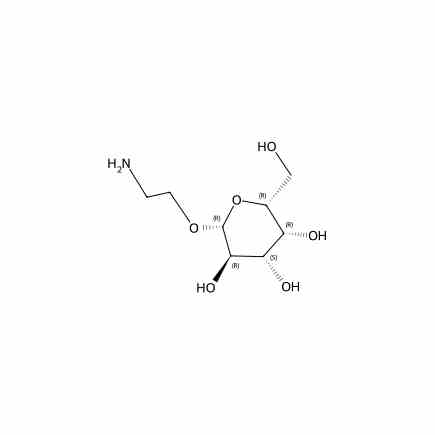 NCCO[C@@H]1O[C@H](CO)[C@H](O)[C@H](O)[C@H]1O